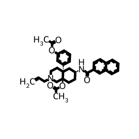 C=CCN1CC[C@@]2(c3cccc(OC(C)=O)c3)C[C@H](NC(=O)c3ccc4ccccc4c3)CC[C@]2(OC(C)=O)C1